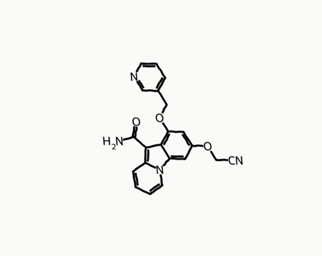 N#CCOc1cc(OCc2cccnc2)c2c(C(N)=O)c3ccccn3c2c1